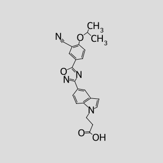 CC(C)Oc1ccc(-c2nc(-c3ccc4c(ccn4CCC(=O)O)c3)no2)cc1C#N